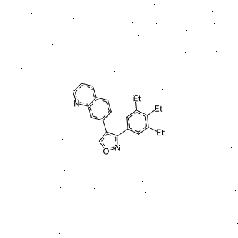 CCc1cc(-c2nocc2-c2ccc3cccnc3c2)cc(CC)c1CC